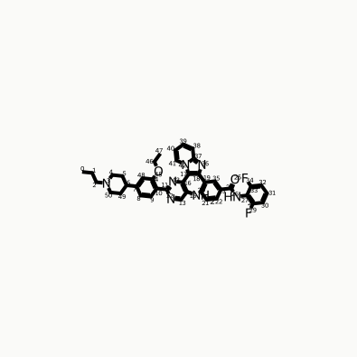 CCCN1CCC(c2ccc(-c3ncc(N)c(-c4c(-c5cccc(C(=O)Nc6c(F)cccc6F)c5)nc5ccccn45)n3)c(OCC)c2)CC1